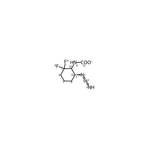 N=[N+]=N[C@H]1CCCC(F)(F)C1NC(=O)[O-]